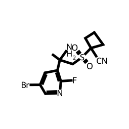 CC(N)(CS(=O)(=O)C1(C#N)CCC1)c1cc(Br)cnc1F